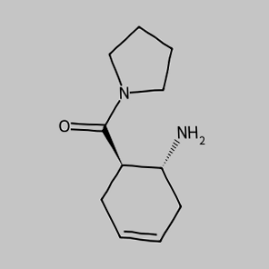 N[C@@H]1CC=CC[C@H]1C(=O)N1CCCC1